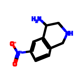 NC1CNCc2ccc([N+](=O)[O-])cc21